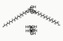 CCCCCCCCCCCCCCCCCCOCC(CO)(CO)COCCCCCCCCCCCCCCCCCC.OP(O)O.OP(O)O